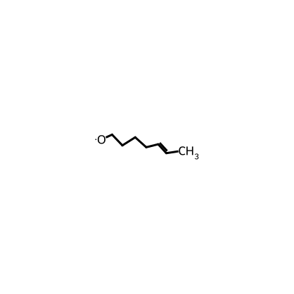 C/C=C/CCCC[O]